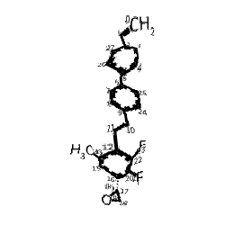 C=Cc1ccc(-c2ccc(CCc3c(C)cc([C@@H]4CO4)c(F)c3F)cc2)cc1